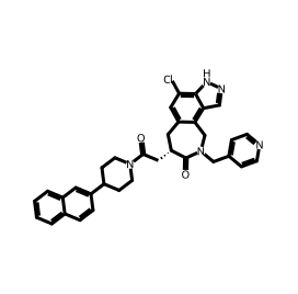 O=C(C[C@@H]1Cc2cc(Cl)c3[nH]ncc3c2CN(Cc2ccncc2)C1=O)N1CCC(c2ccc3ccccc3c2)CC1